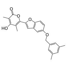 Cc1cc(C)cc(COc2ccc3oc(-c4oc(=O)c(C)c(O)c4C)cc3c2)c1